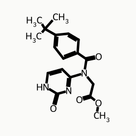 COC(=O)CN(C(=O)c1ccc(C(C)(C)C)cc1)c1cc[nH]c(=O)n1